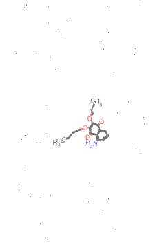 CCCCOC1=C(OCCCC)C(=O)c2c(N)cccc2C1=O